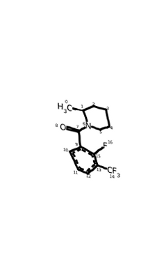 C[C@H]1CCCCN1C(=O)c1cccc(C(F)(F)F)c1F